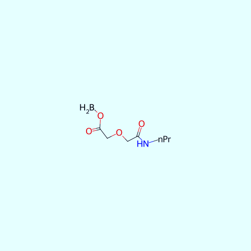 BOC(=O)COCC(=O)NCCC